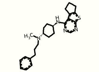 CN(CCCc1ccccc1)[C@H]1CC[C@H](Nc2ncnc3sc4c(c23)CCC4)CC1